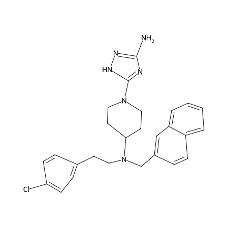 Nc1n[nH]c(N2CCC(N(CCc3ccc(Cl)cc3)Cc3ccc4ccccc4c3)CC2)n1